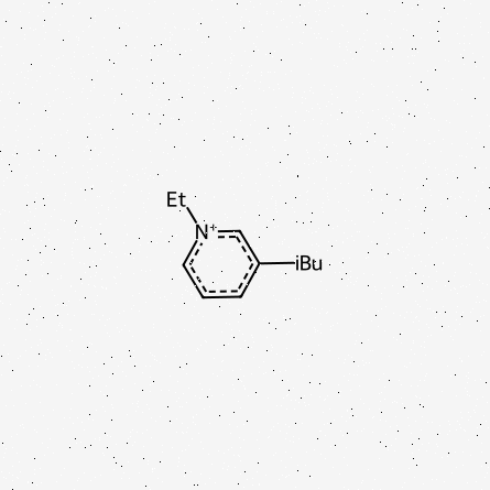 CCC(C)c1ccc[n+](CC)c1